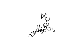 CC(C)n1nc(-c2cccc(C(F)(F)F)c2)cc1C1[C@H]2CC(N3CCOCC3)C[C@@H]12